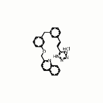 C(=Cc1nnn[nH]1)c1cccc(Cc2cccc(OCc3ccc4ccccc4n3)c2)c1.Cl